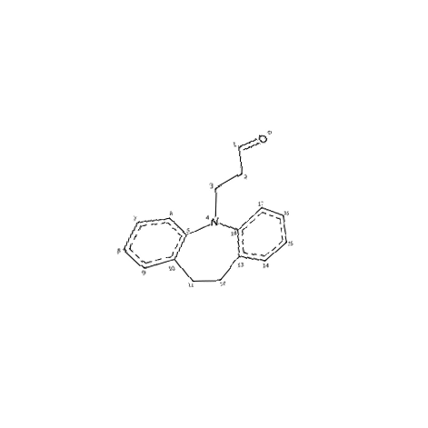 O=CCCN1c2ccccc2CCc2ccccc21